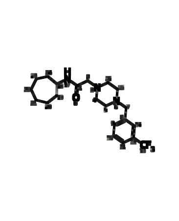 O=C(CN1CCN(Cc2cccc(C(F)(F)F)c2)CC1)NC1CCCCCC1